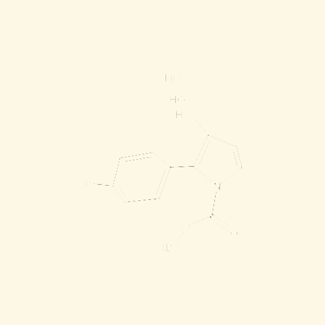 [B+2]c1ccc(-c2c(C)ccn2C(=O)OC(C)(C)C)cc1.[OH-].[OH-]